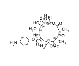 CC[C@H]1OC(=O)[C@H](C)C(=O)[C@H](C)C(=O)[C@](C)(OC)C[C@@H](C)/C(=N\O[C@H]2CC[C@@H](N)CC2)[C@H](C)[C@@H](O)[C@]1(C)O